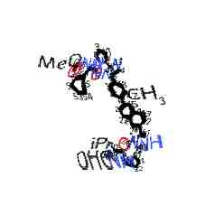 COC(=O)N[C@@H](C(=O)N1CCC[C@H]1c1ncc(-c2ccc(-c3ccc4cc(-c5c[nH]c([C@@H]6CCCN6C(=O)[C@@H](NC=O)C(C)C)n5)ccc4c3)c(C)c2)[nH]1)c1ccccc1